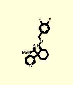 CNC(=S)C1(c2cccnc2)CCCCC1=NOCc1ccc(F)c(F)c1